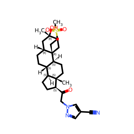 C[C@@]1(O)CC[C@@]2(CCS(C)(=O)=O)[C@H](CC[C@H]3[C@@H]4CC[C@H](C(=O)Cn5cc(C#N)cn5)[C@@]4(C)CC[C@@H]32)C1